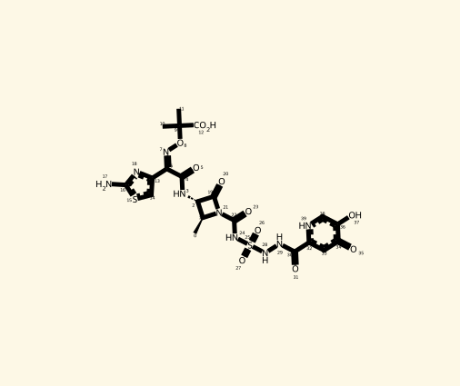 C[C@H]1[C@H](NC(=O)/C(=N\OC(C)(C)C(=O)O)c2csc(N)n2)C(=O)N1C(=O)NS(=O)(=O)NNC(=O)c1cc(=O)c(O)c[nH]1